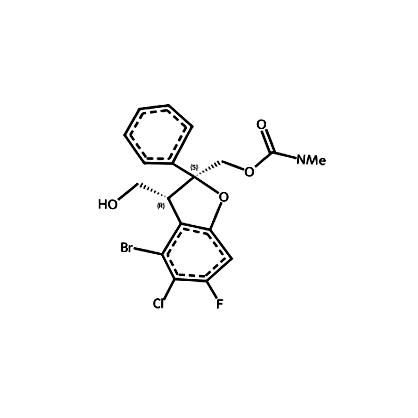 CNC(=O)OC[C@]1(c2ccccc2)Oc2cc(F)c(Cl)c(Br)c2[C@@H]1CO